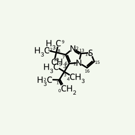 C=C(C)C(C)(C)c1c(C(C)(C)C)nc2sccn12